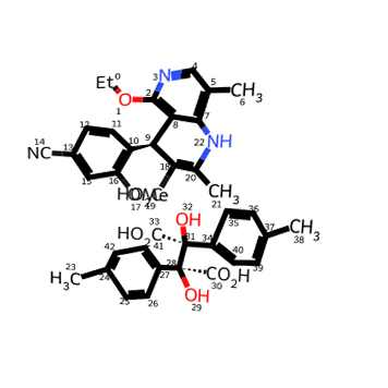 CCOc1ncc(C)c2c1[C@H](c1ccc(C#N)cc1OC)C(C(=O)O)=C(C)N2.Cc1ccc([C@@](O)(C(=O)O)[C@](O)(C(=O)O)c2ccc(C)cc2)cc1